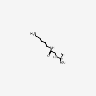 [2H][C@@H](CCCC)NCC(=O)NCCCCCN